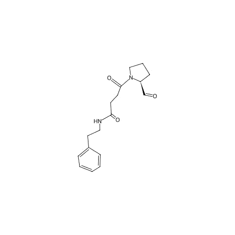 O=C[C@@H]1CCCN1C(=O)CCC(=O)NCCc1ccccc1